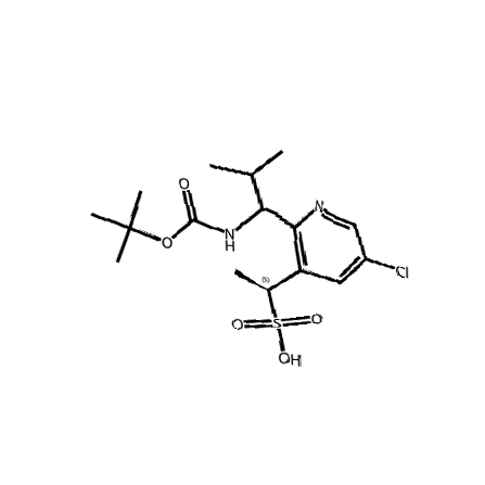 CC(C)C(NC(=O)OC(C)(C)C)c1ncc(Cl)cc1[C@H](C)S(=O)(=O)O